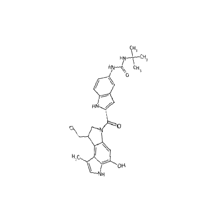 Cc1c[nH]c2c(O)cc3c(c12)C(CCl)CN3C(=O)c1cc2cc(NC(=O)NC(C)(C)C)ccc2[nH]1